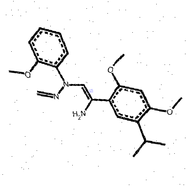 C=NN(/C=C(\N)c1cc(C(C)C)c(OC)cc1OC)c1ccccc1OC